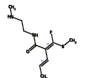 C/C=C/C(C(=O)NCCNC)=C(/F)SC